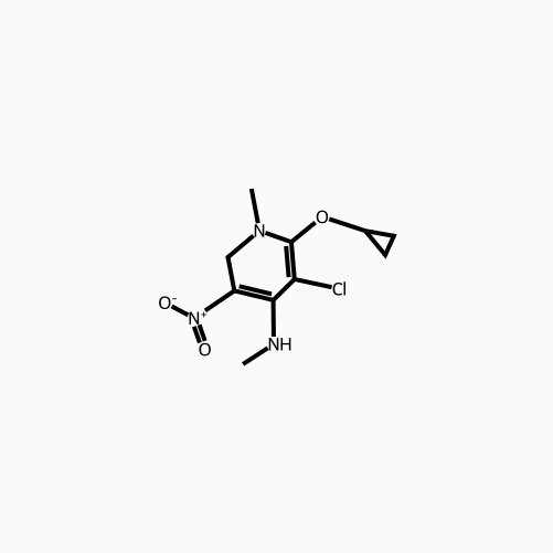 CNC1=C([N+](=O)[O-])CN(C)C(OC2CC2)=C1Cl